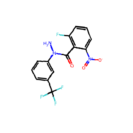 NN(C(=O)c1c(F)cccc1[N+](=O)[O-])c1cccc(C(F)(F)F)c1